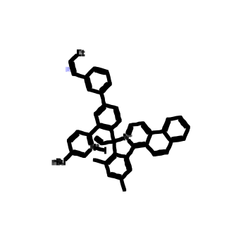 C=CC1(c2ccc(-c3cccc(/C=C\CC)c3)cc2-c2ccc(CCCC)c[n+]2I)c2c(C)cc(C)cc2-c2c3ccc4ccccc4c3cc[n+]21